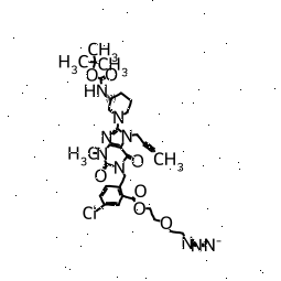 CC#CCn1c(N2CCC[C@@H](NC(=O)OC(C)(C)C)C2)nc2c1c(=O)n(Cc1ccc(Cl)cc1C(=O)OCCOCCN=[N+]=[N-])c(=O)n2C